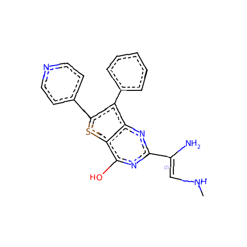 CN/C=C(\N)c1nc(O)c2sc(-c3ccncc3)c(-c3ccccc3)c2n1